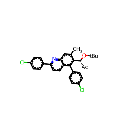 CC(=O)[C@@H](OC(C)(C)C)c1c(C)cc2nc(-c3ccc(Cl)cc3)ccc2c1-c1ccc(Cl)cc1